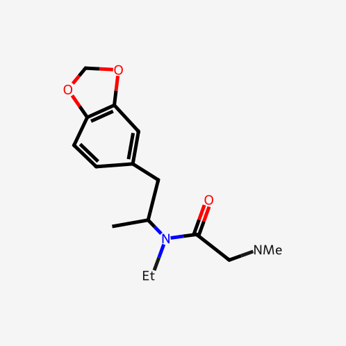 CCN(C(=O)CNC)C(C)Cc1ccc2c(c1)OCO2